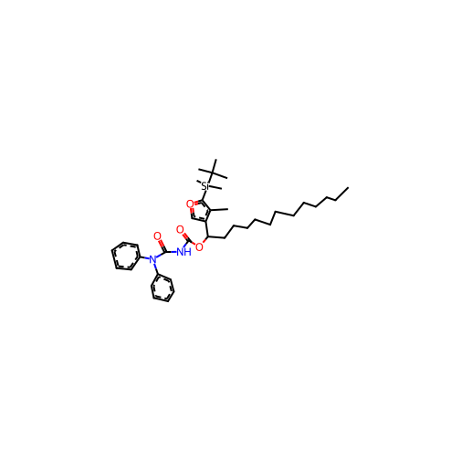 CCCCCCCCCCCCC(OC(=O)NC(=O)N(c1ccccc1)c1ccccc1)c1coc([Si](C)(C)C(C)(C)C)c1C